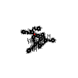 Cc1c(CN(C)Cc2ccccc2)cc(N(C)Cc2ccccc2-c2cccc(NC(=O)Nc3cc(NC(=O)Nc4ccccc4)cc(N(C(=O)Nc4ccccc4)c4cccc(CNCc5cc(NCc6ccccc6)cc(NCc6ccccc6)c5)c4)c3)c2)cc1N(C)Cc1ccccc1